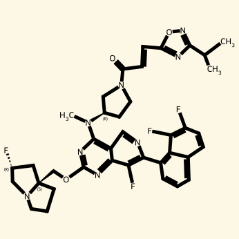 CC(C)c1noc(C=CC(=O)N2CC[C@@H](N(C)c3nc(OC[C@@]45CCCN4C[C@H](F)C5)nc4c(F)c(-c5cccc6ccc(F)c(F)c56)ncc34)C2)n1